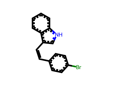 Brc1ccc(/C=C\c2c[nH]c3ccccc23)cc1